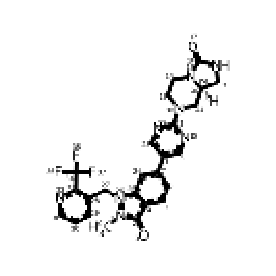 Cn1c(=O)c2ccc(-c3cnc(N4CCN5C(=O)NC[C@H]5C4)nc3)cc2n1Cc1cccnc1C(F)(F)F